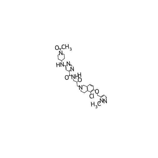 CC(=O)N1CCC(Nc2cc(C(=O)NCC(O)CN3CCc4c(ccc(OCc5ccnn5C)c4Cl)C3)ncn2)CC1